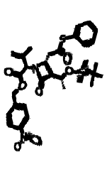 C=C(C)[C@H](C(=O)OCc1ccc([N+](=O)[O-])cc1)N1C(=O)[C@H]([C@@H](C)O[Si](C)(C)C(C)(C)C)[C@H]1CC(=O)Sc1ccccc1